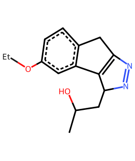 CCOc1ccc2c(c1)C1=C(C2)N=NC1CC(C)O